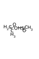 C=C(C)C(=O)OCCC[SiH](C)[O]